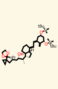 C=C1/C(=C\C=C2/CCC[C@]3(C)[C@@H]([C@H](C)[C@@H](O)CCCC4(C5(CCC)OCCO5)CC4)CC[C@@H]23)C[C@@H](O[Si](C)(C)C(C)(C)C)C[C@@H]1O[Si](C)(C)C(C)(C)C